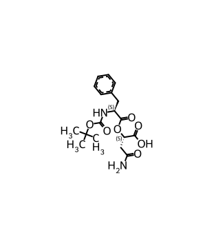 CC(C)(C)OC(=O)N[C@@H](Cc1ccccc1)C(=O)O[C@@H](CC(N)=O)C(=O)O